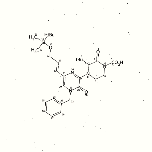 CC(C)(C)C1C(=O)N(C(=O)O)CCN1c1nc(C=CCO[Si](C)(C)C(C)(C)C)cn(Cc2ccccc2)c1=O